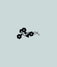 Cc1ccc(C2(NC(=O)c3cccc4ccn(Cc5ccccc5)c34)CC2)cc1